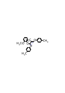 COc1ccccc1OC(=N\c1ccc(C)cc1)/C(C)=C/Oc1ccc(C)cc1